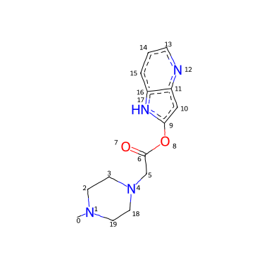 CN1CCN(CC(=O)Oc2cc3ncccc3[nH]2)CC1